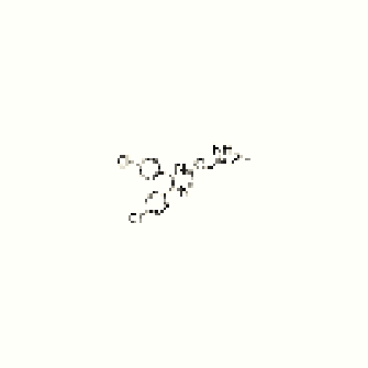 CCC[C@@H](N)COc1cnc(-c2ccc(Cl)cc2)c(-c2ccc(Cl)cc2)n1